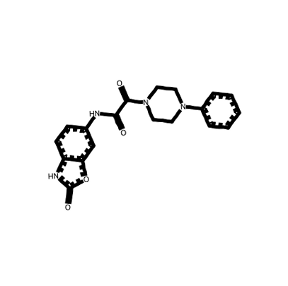 O=C(Nc1ccc2[nH]c(=O)oc2c1)C(=O)N1CCN(c2ccccc2)CC1